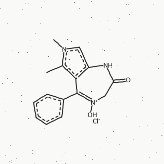 Cc1c2c(cn1C)NC(=O)C[N+](O)=C2c1ccccc1.[Cl-]